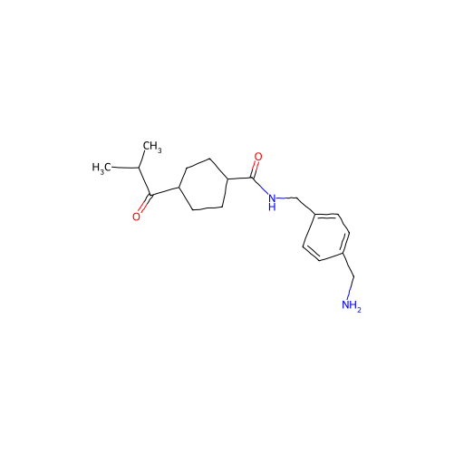 CC(C)C(=O)C1CCC(C(=O)NCc2ccc(CN)cc2)CC1